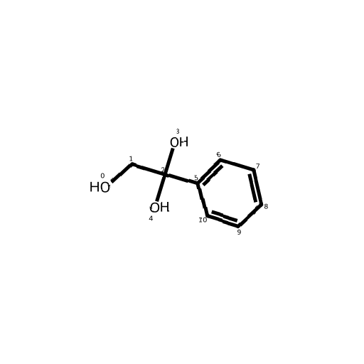 OCC(O)(O)c1ccccc1